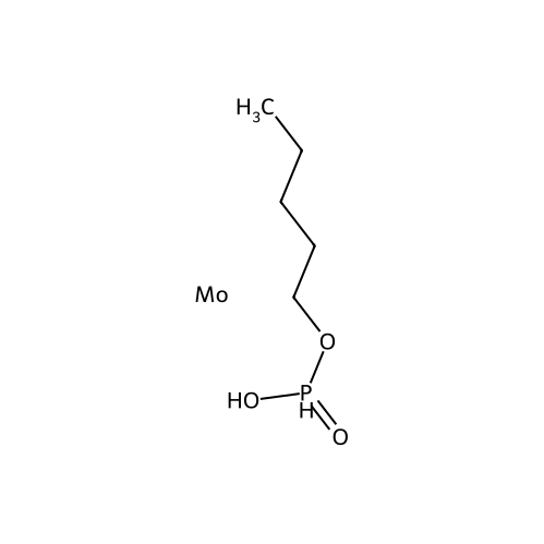 CCCCCO[PH](=O)O.[Mo]